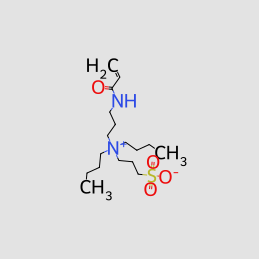 C=CC(=O)NCCC[N+](CCCC)(CCCC)CCCS(=O)(=O)[O-]